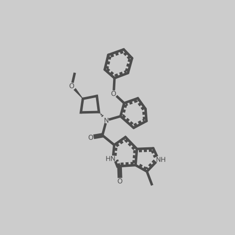 CO[C@H]1C[C@H](N(C(=O)c2cc3c[nH]c(C)c3c(=O)[nH]2)c2ccccc2Oc2ccccc2)C1